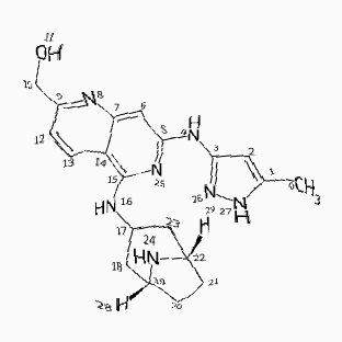 Cc1cc(Nc2cc3nc(CO)ccc3c(NC3C[C@H]4CC[C@@H](C3)N4)n2)n[nH]1